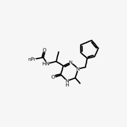 CCCC(=O)NC(C)C1=NN(Cc2ccccc2)C(C)NC1=O